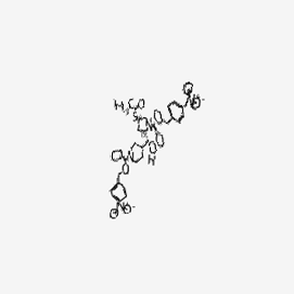 CC(=O)S[C@H]1C[C@@H](C(O)C2CCN(C(=O)OCc3ccc([N+](=O)[O-])cc3)CC2)N(C(=O)OCc2ccc([N+](=O)[O-])cc2)C1